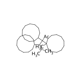 CC(=O)C(C(=C(C)C)C1CCCCCCCCCC1)(C1CCCCCCCCCC1)C1(C)CCCCCCCCCC1